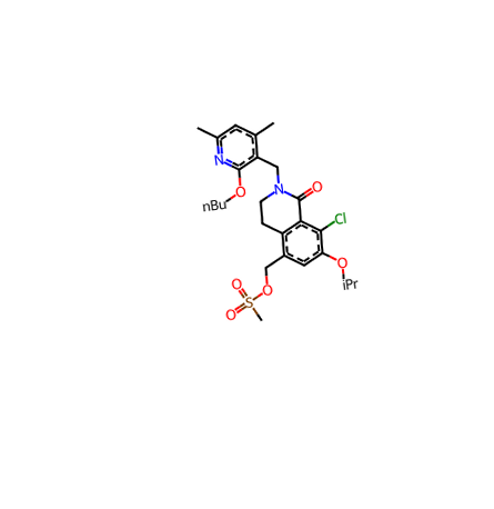 CCCCOc1nc(C)cc(C)c1CN1CCc2c(COS(C)(=O)=O)cc(OC(C)C)c(Cl)c2C1=O